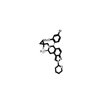 COc1cc(Br)ccc1[C@@H]1c2ccc3nn(C4CCCCO4)cc3c2C[C@@H](C)N1CC1(F)CC1